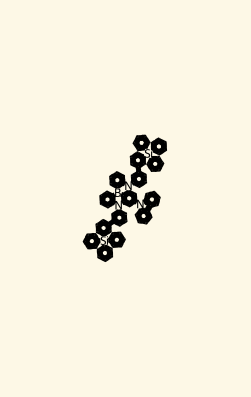 c1ccc([Si](c2ccccc2)(c2ccccc2)c2cccc(-c3cccc(N4c5ccccc5B5c6ccccc6N(c6cccc(-c7cccc([Si](c8ccccc8)(c8ccccc8)c8ccccc8)c7)c6)c6cc(-n7c8ccccc8c8ccccc87)cc4c65)c3)c2)cc1